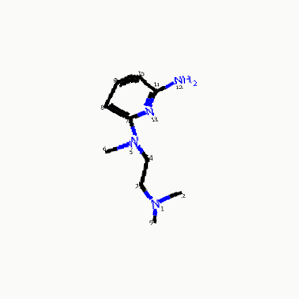 CN(C)CCN(C)c1cccc(N)n1